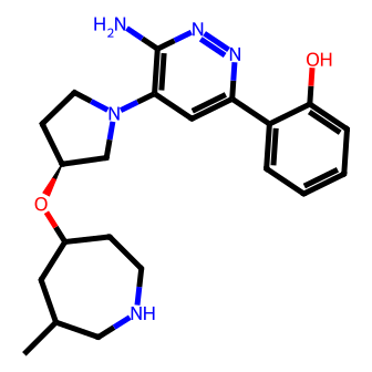 CC1CNCCC(O[C@H]2CCN(c3cc(-c4ccccc4O)nnc3N)C2)C1